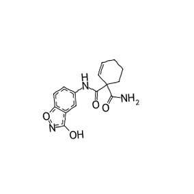 NC(=O)C1(C(=O)Nc2ccc3onc(O)c3c2)C=CCCC1